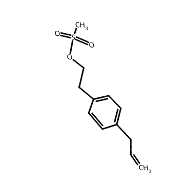 C=CCc1ccc(CCOS(C)(=O)=O)cc1